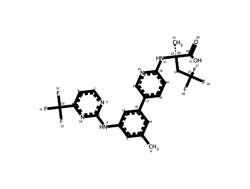 Cc1cc(Nc2nccc(C(F)(F)F)n2)cc(-c2ccc(N[C@](C)(CC(F)(F)F)C(=O)O)nc2)c1